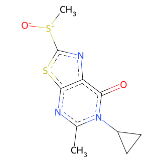 Cc1nc2sc([S+](C)[O-])nc2c(=O)n1C1CC1